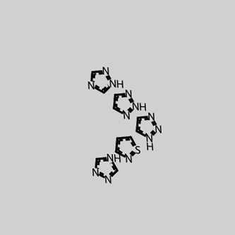 c1c[nH]nn1.c1cn[nH]n1.c1cnsc1.c1nc[nH]n1.c1nnc[nH]1